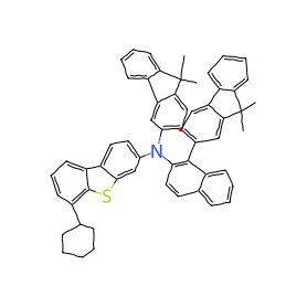 CC1(C)c2ccccc2-c2cc(N(c3ccc4c(c3)sc3c(C5CCCCC5)cccc34)c3ccc4ccccc4c3-c3ccc4c(c3)C(C)(C)c3ccccc3-4)ccc21